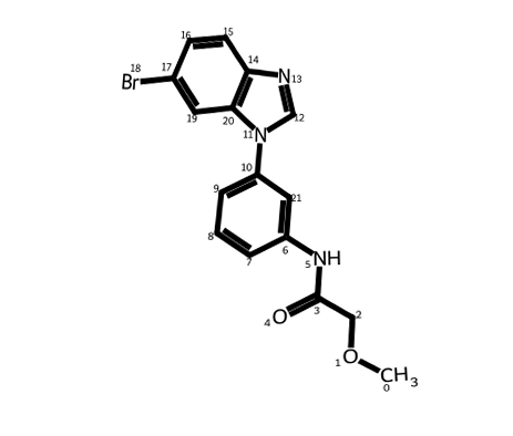 COCC(=O)Nc1cccc(-n2cnc3ccc(Br)cc32)c1